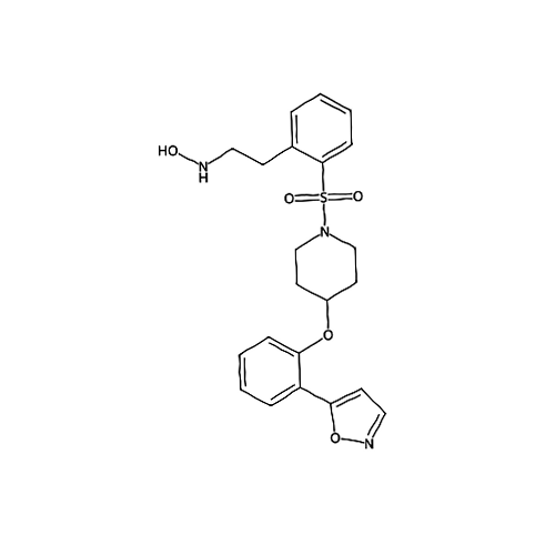 O=S(=O)(c1ccccc1CCNO)N1CCC(Oc2ccccc2-c2ccno2)CC1